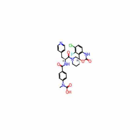 CN(C(=O)O)c1ccc(C(=O)N[C@@H](Cc2ccncc2)C(=O)N2CCC[C@@]3(C2)OC(=O)Nc2ccc(Cl)c(F)c23)cc1